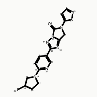 O=C1N(c2ccns2)Cc2nc(-c3ccc(N4CCC(I)C4)nc3)nn21